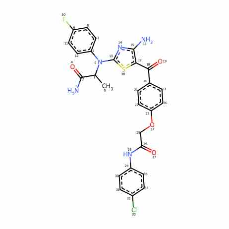 CC(C(N)=O)N(c1ccc(F)cc1)c1nc(N)c(C(=O)c2ccc(OCC(=O)Nc3ccc(Cl)cc3)cc2)s1